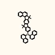 CC1(C)c2cc(N(c3cccc4ccccc34)c3cccc4ccccc34)ccc2-c2cc3c(cc21)-c1c(ccc2ccccc12)C3(C)C